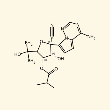 BC(B)(O)C1O[C@@](C#N)(c2ccc3c(N)ncnn23)[C@H](O)[C@@H]1OC(=O)C(C)C